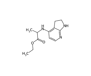 CCOC(=O)C(C)Nc1ccnc2c1CCN2